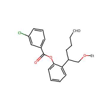 CCOCC(CCCC=O)c1ccccc1OC(=O)c1cccc(Cl)c1